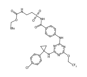 CC(C)(C)COC(=O)NCCS(=O)(=O)NC(=O)c1ccc(Nc2nc(NC3(c4ccc(Cl)cc4)CC3)nc(OCC(F)(F)F)n2)cc1